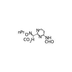 CCCO/N=C(\C(=O)O)c1nccc(NC=O)n1